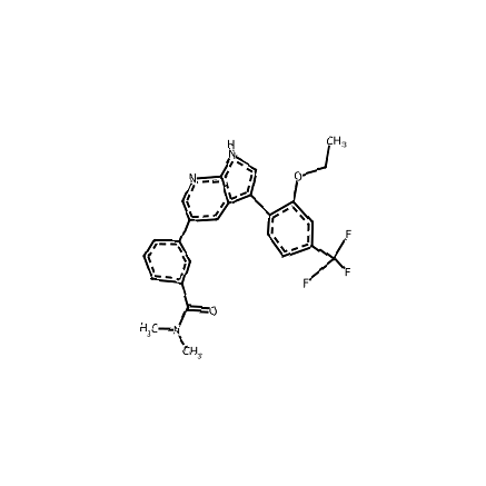 CCOc1cc(C(F)(F)F)ccc1-c1c[nH]c2ncc(-c3cccc(C(=O)N(C)C)c3)cc12